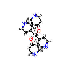 c1cc(O[Si](Oc2ccncc2)(c2ccncc2)c2ccncc2)ccn1